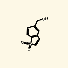 O=S1(=O)C=Cc2cc(CO)ccc21